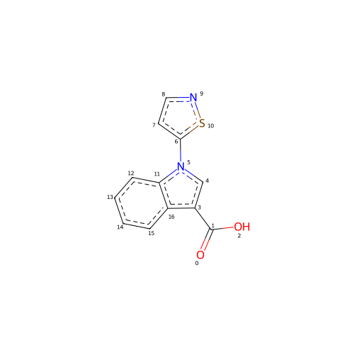 O=C(O)c1cn(-c2ccns2)c2ccccc12